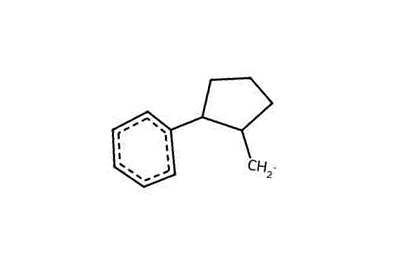 [CH2]C1CCCC1c1ccccc1